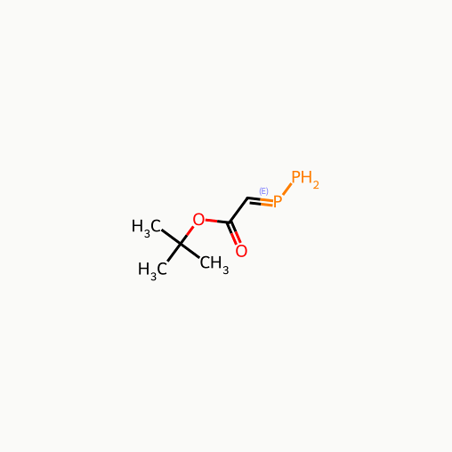 CC(C)(C)OC(=O)/C=P/P